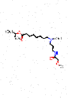 CCCCCCCCC(CCCCCCCC)OC(=O)CCCCCCCN(CCCCCCCC)CCCNC(=O)COCC